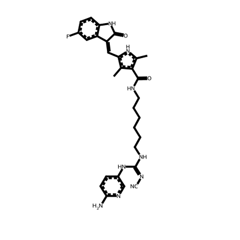 Cc1[nH]c(/C=C2\C(=O)Nc3ccc(F)cc32)c(C)c1C(=O)NCCCCCCN/C(=N/C#N)Nc1ccc(N)nc1